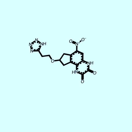 O=c1[nH]c2cc([N+](=O)[O-])c3c(c2[nH]c1=O)CC(OCCc1nnn[nH]1)C3